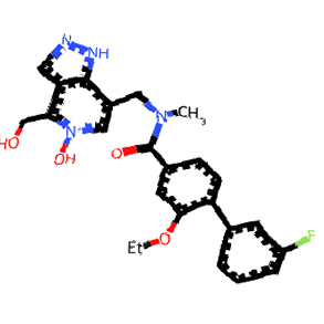 CCOc1cc(C(=O)N(C)Cc2c[n+](O)c(CO)c3cn[nH]c23)ccc1-c1cccc(F)c1